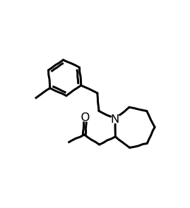 CC(=O)CC1CCCCCN1CCc1cccc(C)c1